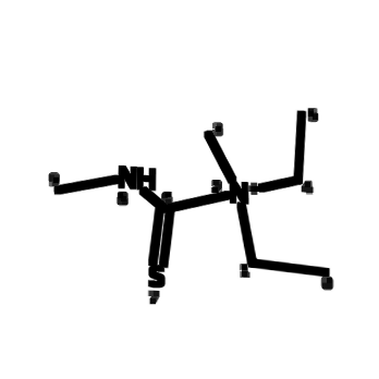 CC[N+](C)(CC)C(=S)NC